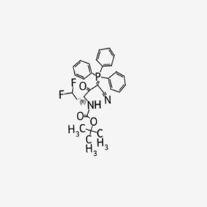 CC(C)(C)OC(=O)N[C@H](CC(F)F)C(=O)C(C#N)=P(c1ccccc1)(c1ccccc1)c1ccccc1